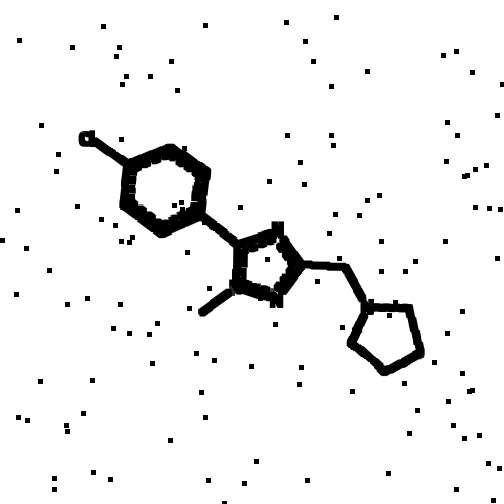 Cn1nc(CN2CCCC2)nc1-c1ccc(Cl)cc1